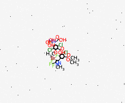 CC(C)OC(=O)c1cc(-c2nn(C)c(C(F)(F)F)c2Br)c(F)cc1Cl.COc1c(Cl)ccc(Cl)c1C(=O)O.O=C(O)CNCP(=O)(O)O